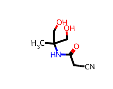 CC(CO)(CO)NC(=O)CC#N